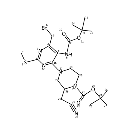 CSc1nc(CBr)c(NC(=O)OC(C)(C)C)c(N2CCN(C(=O)OC(C)(C)C)C(CC#N)C2)n1